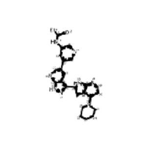 CCC(=O)Nc1cncc(-c2cnc3[nH]nc(-c4cc5c(N6CCCCC6)ccnc5[nH]4)c3c2)c1